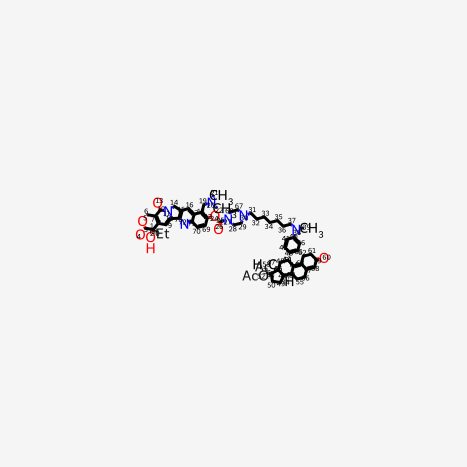 CC[C@@]1(O)C(=O)OCc2c1cc1n(c2=O)Cc2cc3c(CN(C)C)c(OC(=O)N4CCN(CCCCCCCN(C)c5ccc([C@H]6C[C@@]7(C)C(CC[C@]7(OC(C)=O)C(C)=O)[C@@H]7CCC8=CC(=O)CCC8=C76)cc5)CC4)ccc3nc2-1